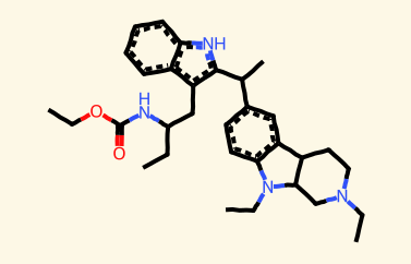 CCOC(=O)NC(CC)Cc1c(C(C)c2ccc3c(c2)C2CCN(CC)CC2N3CC)[nH]c2ccccc12